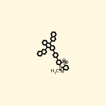 Cc1nc2cccc3c2n1-c1ccc(-c2ccc(-c4ccc5c(-c6ccc7ccccc7c6)c6ccccc6c(-c6ccc7ccccc7c6)c5c4)cc2)cc1S3(=O)=O